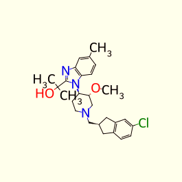 CO[C@@H]1CN(C[C@@H]2Cc3ccc(Cl)cc3C2)CC[C@H]1n1c(C(C)(C)O)nc2cc(C)ccc21